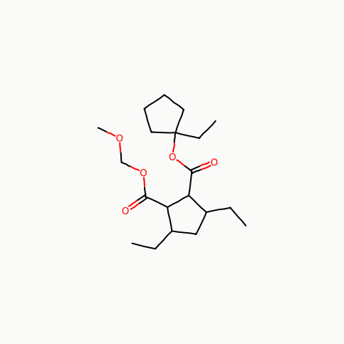 CCC1CC(CC)C(C(=O)OC2(CC)CCCC2)C1C(=O)OCOC